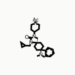 CC(=O)N1CCC(N2C[C@]3(CC[C@](c4ccccc4)(N(C)C)CC3)N(CC3CC3)C2=O)CC1